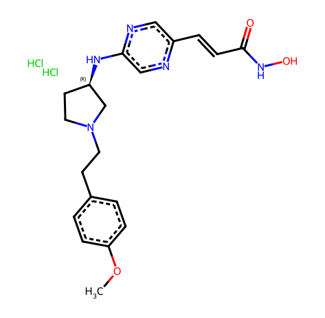 COc1ccc(CCN2CC[C@@H](Nc3cnc(C=CC(=O)NO)cn3)C2)cc1.Cl.Cl